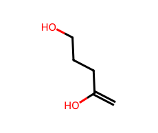 C=C(O)CCCO